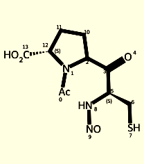 CC(=O)N1C(C(=O)[C@@H](CS)NN=O)CC[C@H]1C(=O)O